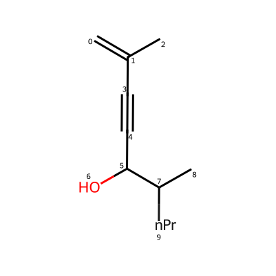 C=C(C)C#CC(O)C(C)CCC